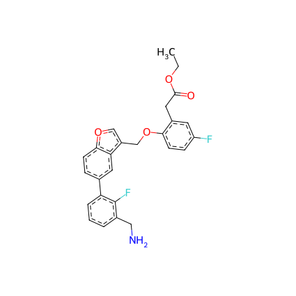 CCOC(=O)Cc1cc(F)ccc1OCc1coc2ccc(-c3cccc(CN)c3F)cc12